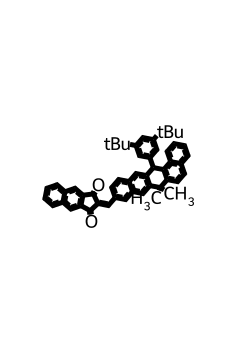 CC(C)(C)c1cc(C2c3cc4ccc(C=C5C(=O)c6cc7ccccc7cc6C5=O)cc4cc3C(C)(C)c3ccc4ccccc4c32)cc(C(C)(C)C)c1